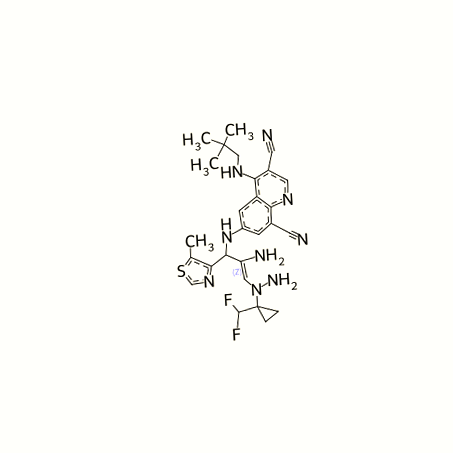 Cc1scnc1C(Nc1cc(C#N)c2ncc(C#N)c(NCC(C)(C)C)c2c1)/C(N)=C/N(N)C1(C(F)F)CC1